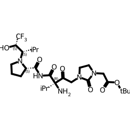 CC(C)[C@@H]([C@H](O)C(F)(F)F)N1CCC[C@H]1C(=O)NC(=O)[C@](N)(C(=O)CN1CCN(CC(=O)OC(C)(C)C)C1=O)C(C)C